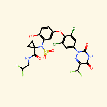 O=C(NCC(F)F)C1(N(c2cc(Oc3c(Cl)cc(-n4nc(C(F)F)c(=O)[nH]c4=O)cc3Cl)ccc2O)[SH](=O)=O)CC1